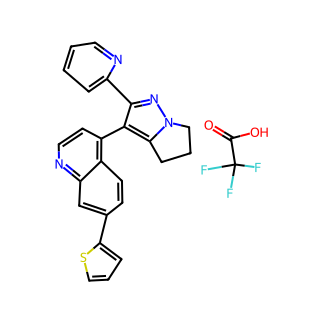 O=C(O)C(F)(F)F.c1ccc(-c2nn3c(c2-c2ccnc4cc(-c5cccs5)ccc24)CCC3)nc1